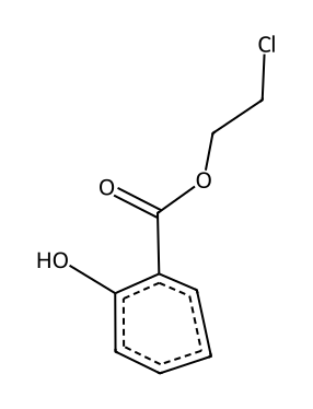 O=C(OCCCl)c1ccccc1O